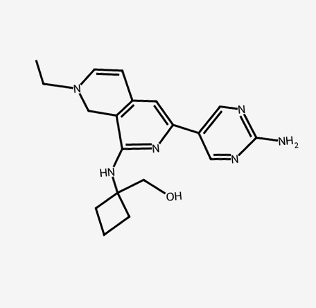 CCN1C=Cc2cc(-c3cnc(N)nc3)nc(NC3(CO)CCC3)c2C1